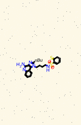 CCCCc1nc2c(N)nc3ccccc3c2n1CCCCNS(=O)(=O)C1=CC=CCC1=S